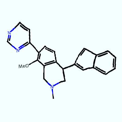 COc1c(-c2ccncn2)ccc2c1CN(C)CC2c1ccc2ccccc2c1